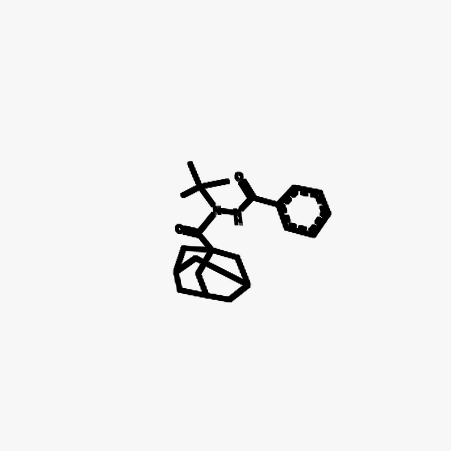 CC(C)(C)N(NC(=O)c1ccccc1)C(=O)C12CC3CC(CC(C3)C1)C2